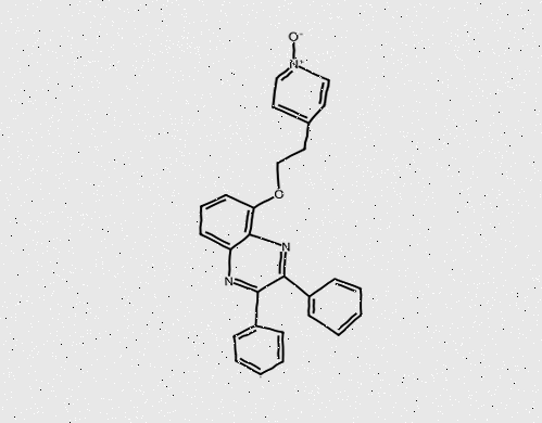 [O-][n+]1ccc(CCOc2cccc3nc(-c4cc[c]cc4)c(-c4ccccc4)nc23)cc1